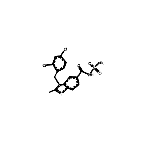 CCCCS(=O)(=O)NC(=O)c1ccc2sc(C)c(Cc3ccc(Cl)cc3Cl)c2c1